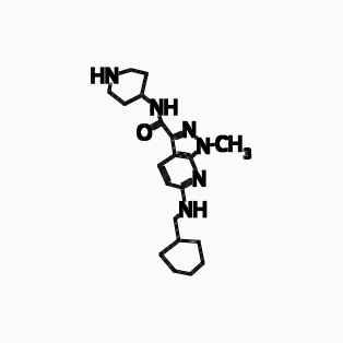 Cn1nc(C(=O)NC2CCNCC2)c2ccc(NCC3CCCCC3)nc21